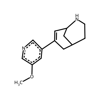 COc1cncc(C2=CC3CC(CCN3)C2)c1